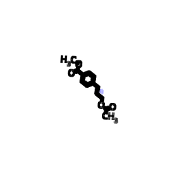 COC(=O)c1ccc(/C=C/COC(C)=O)cc1